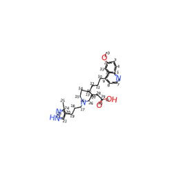 COc1ccc2nccc(CCC[C@@H]3CCN(CCCc4c[nH]nc4C)C[C@@H]3CC(=O)O)c2c1